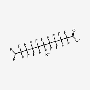 O=C([O-])C(F)(F)C(F)(F)C(F)(F)C(F)(F)C(F)(F)C(F)(F)C(F)(F)C(F)(F)C(F)(F)C(F)F.[K+]